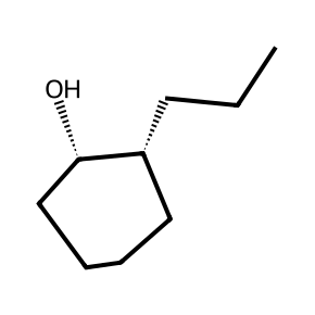 CCC[C@@H]1CCCC[C@@H]1O